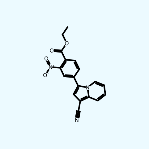 CCOC(=O)c1ccc(-c2cc(C#N)c3ccccn23)cc1[N+](=O)[O-]